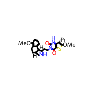 COc1cccc2c1CC[C@H]1CNC(CCn3c(=O)[nH]c4c(C(C)C)c(OC)sc4c3=O)[C@@H]21